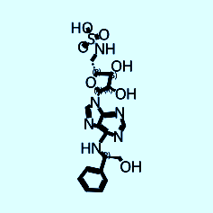 O=S(=O)(O)NC[C@H]1O[C@@H](n2cnc3c(N[C@@H](CO)c4ccccc4)ncnc32)[C@H](O)[C@@H]1O